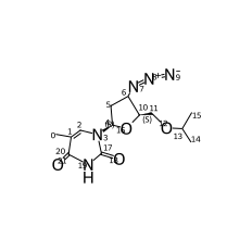 Cc1cn([C@H]2CC(N=[N+]=[N-])[C@@H](COC(C)C)O2)c(=O)[nH]c1=O